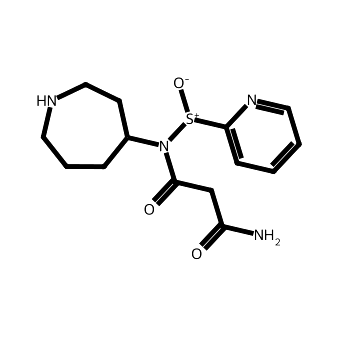 NC(=O)CC(=O)N(C1CCCNCC1)[S+]([O-])c1ccccn1